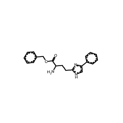 NC(CCc1nc(-c2ccccc2)c[nH]1)C(=O)OCc1ccccc1